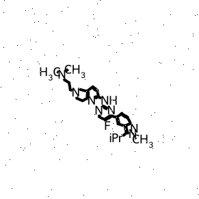 CC(C)c1c2cc(-c3nc(Nc4ccc5c(n4)CCN(CCCN(C)C)C5)ncc3F)ccc2nn1C